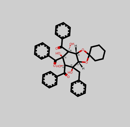 O=C(c1ccccc1)[C@@]1(O)[C@](O)(C(=O)c2ccccc2)[C@@](O)(C(=O)c2ccccc2)[C@@H]2OC3(CCCCC3)O[C@@H]2[C@]1(O)Cc1ccccc1